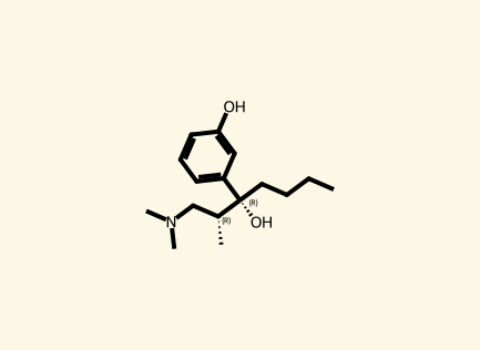 CCCC[C@](O)(c1cccc(O)c1)[C@H](C)CN(C)C